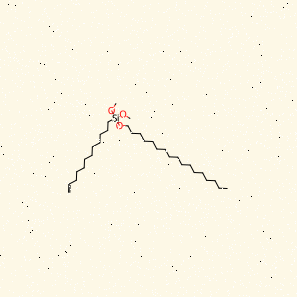 C=CCCCCCCCCCC[Si](OC)(OC)OCCCCCCCCCCCCCCCCC